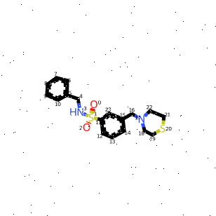 O=S(=O)(NCc1ccccc1)c1cccc(CN2CCSCC2)c1